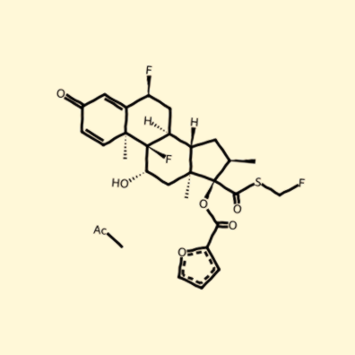 CC(C)=O.C[C@@H]1C[C@H]2[C@@H]3C[C@H](F)C4=CC(=O)C=C[C@]4(C)[C@@]3(F)[C@@H](O)C[C@]2(C)[C@@]1(OC(=O)c1ccco1)C(=O)SCF